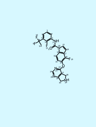 O=C(Nc1cccc(C(F)(F)I)c1F)n1ccc2c(F)c(Oc3ncnc4c3CNC4)ccc21